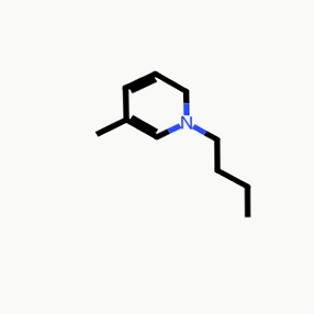 CCCCN1C=C(C)C=CC1